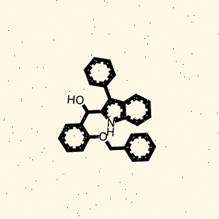 OC(c1ccccc1OCc1ccccc1)c1[nH]c2ccccc2c1-c1ccccc1